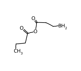 BCCC(=O)OC(=O)CCC